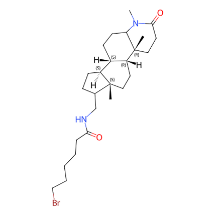 CN1C(=O)CC[C@@]2(C)C1CC[C@@H]1[C@H]2CC[C@]2(C)C(CNC(=O)CCCCCBr)CC[C@@H]12